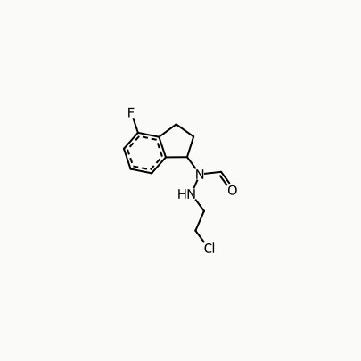 O=CN(NCCCl)C1CCc2c(F)cccc21